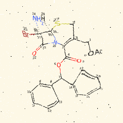 CC(=O)OCC1=C(C(=O)OC(c2ccccc2)c2ccccc2)N2C(=O)[C@@](N)(Br)[C@H]2SC1